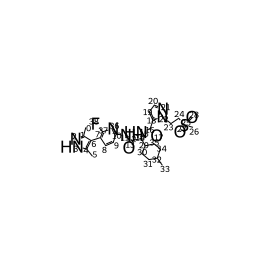 Cc1n[nH]c(C)c1-c1ccc(NC(=O)[C@@H](NC(=O)c2ccnn2CCS(C)(=O)=O)C2CCC(C)CC2)nc1F